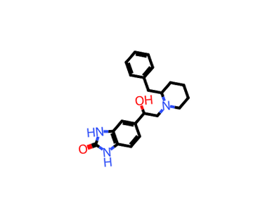 O=c1[nH]c2ccc(C(O)CN3CCCCC3Cc3ccccc3)cc2[nH]1